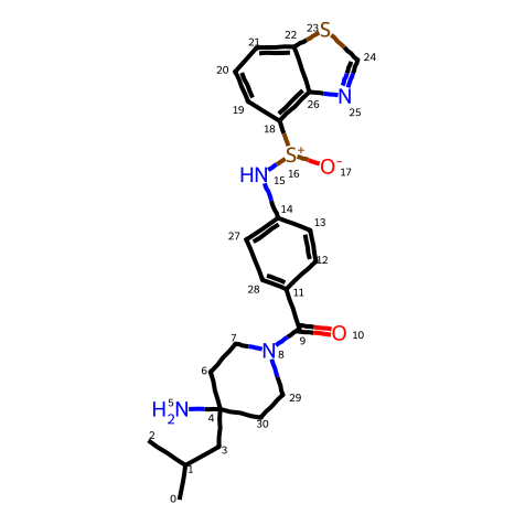 CC(C)CC1(N)CCN(C(=O)c2ccc(N[S+]([O-])c3cccc4scnc34)cc2)CC1